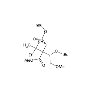 CCCCOC(=O)CC(C(=O)OC)(C(COC)OC(C)(C)C)C(C)(C)CC